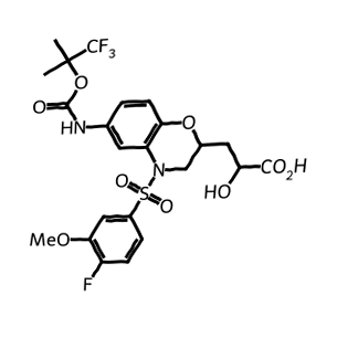 COc1cc(S(=O)(=O)N2CC(CC(O)C(=O)O)Oc3ccc(NC(=O)OC(C)(C)C(F)(F)F)cc32)ccc1F